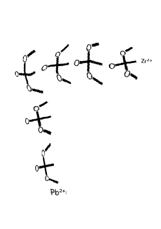 COC(C)([O-])OC.COC(C)([O-])OC.COC(C)([O-])OC.COC(C)([O-])OC.COC(C)([O-])OC.COC(C)([O-])OC.[Pb+2].[Zr+4]